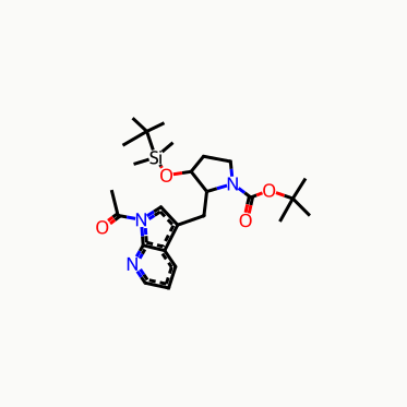 CC(=O)n1cc(CC2C(O[Si](C)(C)C(C)(C)C)CCN2C(=O)OC(C)(C)C)c2cccnc21